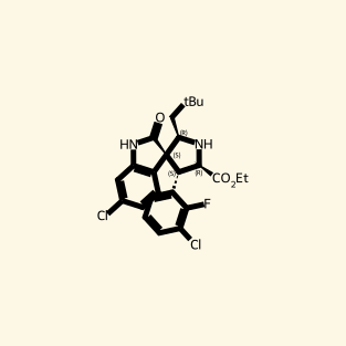 CCOC(=O)[C@@H]1N[C@H](CC(C)(C)C)[C@]2(C(=O)Nc3cc(Cl)ccc32)[C@H]1c1cccc(Cl)c1F